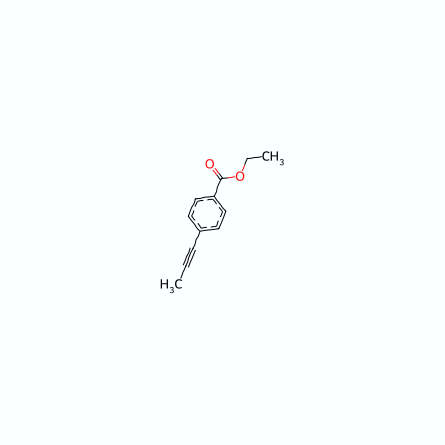 CC#Cc1ccc(C(=O)OCC)cc1